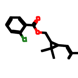 CC(C)=CC1C(COC(=O)c2ccccc2Cl)C1(C)C